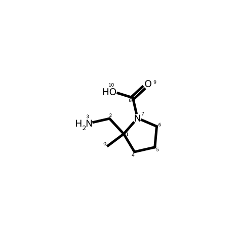 CC1(CN)CCCN1C(=O)O